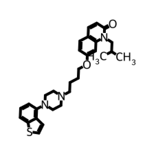 CC(C)Cn1c(=O)ccc2ccc(OCCCCN3CCN(c4cccc5sccc45)CC3)cc21